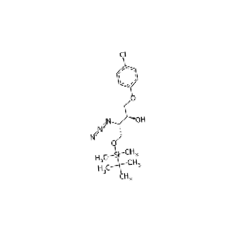 CC(C)(C)[Si](C)(C)OC[C@H](N=[N+]=[N-])[C@H](O)COc1ccc(Cl)cc1